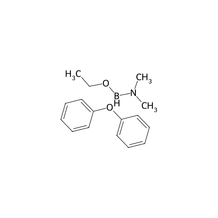 CCOBN(C)C.c1ccc(Oc2ccccc2)cc1